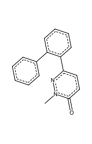 Cn1nc(-c2ccccc2-c2ccccc2)ccc1=O